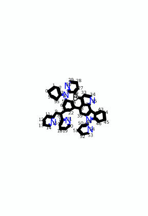 c1ccc(N2c3cc(C(Cc4ccccn4)c4ccccn4)cc4c3B(c3cccnc32)c2ccnc3c2C4Cc2c-3c3ccccc3n2-c2ccccn2)cc1